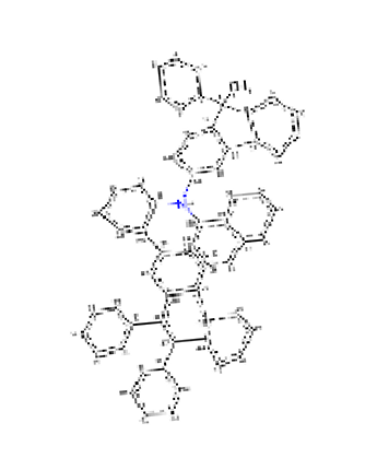 CC1(c2ccccc2)c2ccccc2-c2cc(N(c3ccccc3-c3ccc4c(c3)c(-c3ccccc3)c(-c3ccccc3)c3ccccc34)c3cccc4ccccc34)ccc21